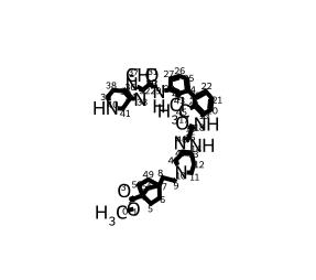 COC(=O)C12CCC(CCN3CCc4[nH]c(C(=O)Nc5cccc(-c6cccc(NC(=O)c7nc8c(n7C)CCNC8)c6Cl)c5C)nc4C3)(CC1)C2